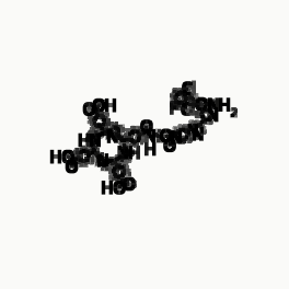 Nc1ncc(-c2cnn(C3CCN(C(=O)OCCNC(=O)c4ccc(-c5c6nc(c(-c7ccc(C(=O)O)cc7)c7ccc([nH]7)c(-c7ccc(C(=O)O)cc7)c7nc(c(-c8ccc(C(=O)O)cc8)c8ccc5[nH]8)C=C7)C=C6)cc4)CC3)c2)cc1OCCc1c(Cl)ccc(F)c1Cl